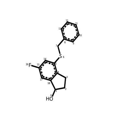 OC1CCc2c(SCc3ccccc3)cc(F)cc21